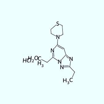 CCc1nc2cc(N3CCSCC3)nc(CC)n2n1.Cl.O